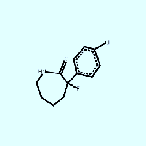 O=C1NCCCCC1(F)c1ccc(Cl)cc1